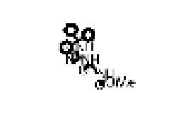 COC(=O)NCCC(=O)Nc1cnn(C)c1NC(c1ccccc1)(c1ccccc1)c1ccccc1